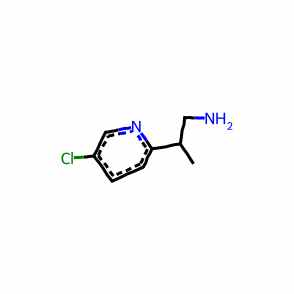 CC(CN)c1ccc(Cl)cn1